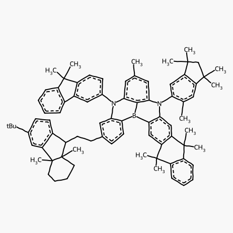 Cc1cc2c3c(c1)N(c1cc4c(cc1C)C(C)(C)CC4(C)C)c1cc4c(cc1B3c1ccc(CCC3c5ccc(C(C)(C)C)cc5C5(C)CCCCC35C)cc1N2c1ccc2c(c1)-c1ccccc1C2(C)C)C(C)(C)c1ccccc1C4(C)C